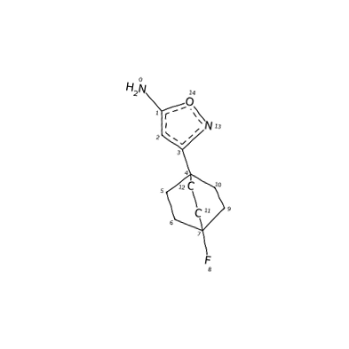 Nc1cc(C23CCC(F)(CC2)CC3)no1